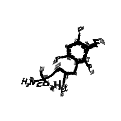 CCC(Cc1c(F)cc(F)c(F)c1F)CC(C)(N)C(=O)O